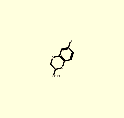 CCOC(=O)C1COc2cc(Cl)ccc2O1